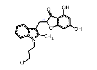 Cc1c(/C=C2\Oc3cc(O)cc(O)c3C2=O)c2ccccc2n1CCCCl